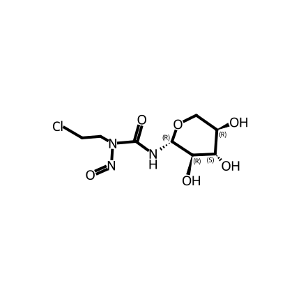 O=NN(CCCl)C(=O)N[C@@H]1OC[C@@H](O)[C@H](O)[C@H]1O